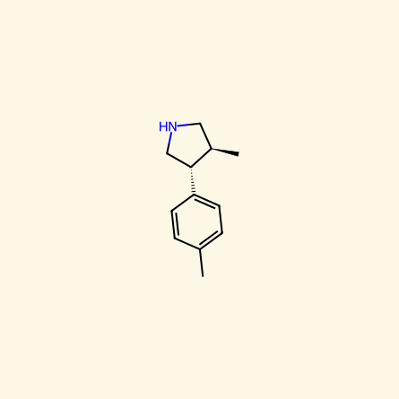 Cc1ccc([C@@H]2CNC[C@H]2C)cc1